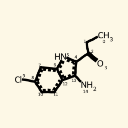 CCC(=O)c1[nH]c2cc(Cl)ccc2c1N